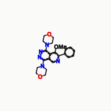 COc1c(-c2ccccc2)ncc2c(N3CCOCC3)nnc(N3CCOCC3)c12